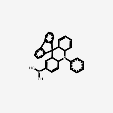 OB(O)C1=CC2C(C=C1)N(c1ccccc1)C1C=CC=CC1C21c2ccccc2-c2ccccc21